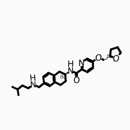 CC(C)CCNCc1ccc2c(c1)CC[C@H](NC(=O)c1ccc(OC[C@@H]3CCCO3)cn1)C2